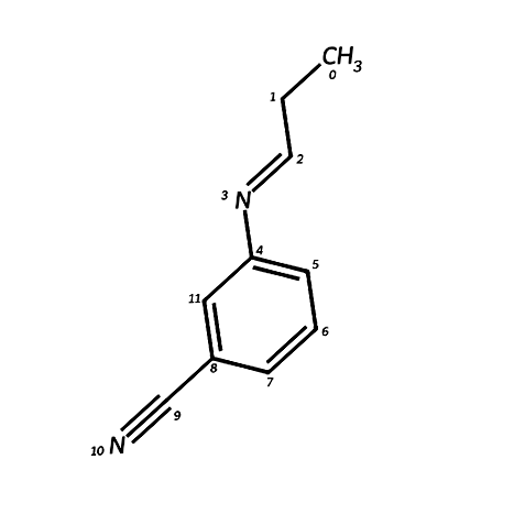 CCC=Nc1cccc(C#N)c1